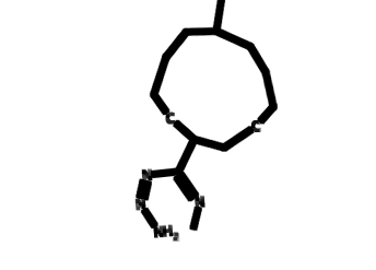 C/N=C(\N=N/N)C1CCCCCC(C)CCCC1